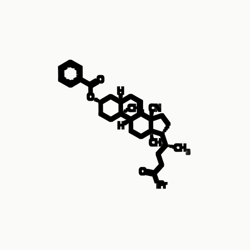 CC(C)C(=O)CC[C@@H](C)[C@H]1CC[C@@]2(C#N)C3=CC[C@H]4C[C@@H](OC(=O)c5ccccc5)CC[C@]4(C)[C@H]3CC[C@]12C